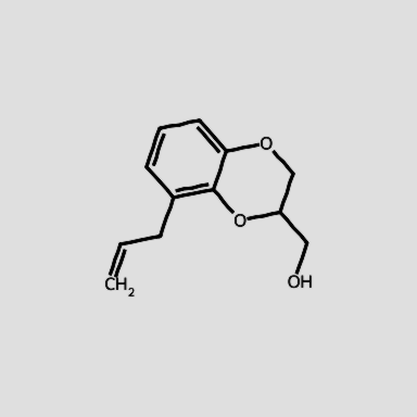 C=CCc1cccc2c1OC(CO)CO2